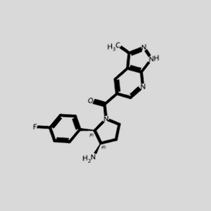 Cc1n[nH]c2ncc(C(=O)N3CC[C@@H](N)[C@H]3c3ccc(F)cc3)cc12